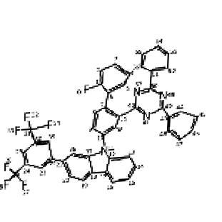 Fc1ccccc1-c1ccc(-n2c3ccccc3c3ccc(-c4cc(C(F)(F)F)cc(C(F)(F)F)c4)cc32)cc1-c1nc(-c2ccccc2)nc(-c2ccccc2)n1